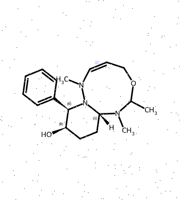 CC1OC/C=C\N(C)N2[C@H](c3ccccc3)[C@H](O)CC[C@H]2N1C